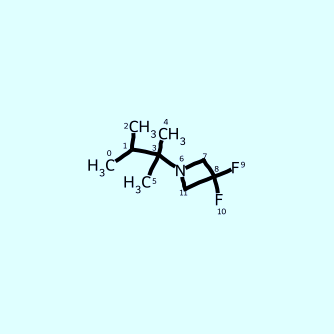 CC(C)C(C)(C)N1CC(F)(F)C1